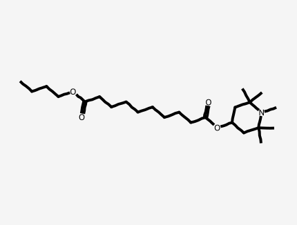 CCCCOC(=O)CCCCCCCCC(=O)OC1CC(C)(C)N(C)C(C)(C)C1